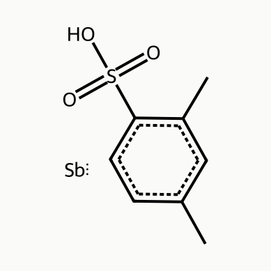 Cc1ccc(S(=O)(=O)O)c(C)c1.[Sb]